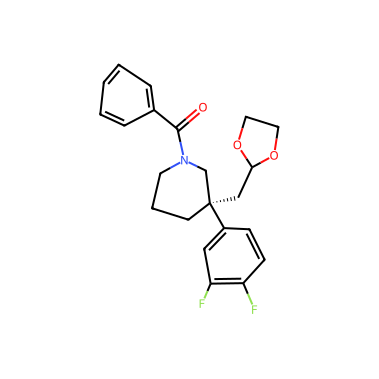 O=C(c1ccccc1)N1CCC[C@](CC2OCCO2)(c2ccc(F)c(F)c2)C1